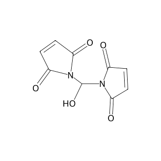 O=C1C=CC(=O)N1C(O)N1C(=O)C=CC1=O